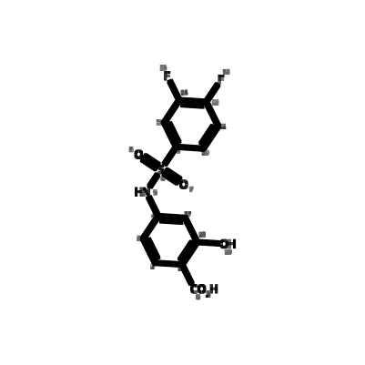 O=C(O)c1ccc(NS(=O)(=O)c2ccc(F)c(F)c2)cc1O